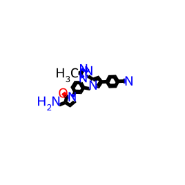 Cc1nnc2n1-c1ccc(N3CCC(CN)C3=O)cc1Cn1cc(-c3ccc(C#N)cc3)cc1-2